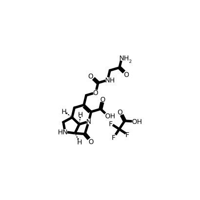 NC(=O)CNC(=O)OCC1=C(C(=O)O)N2C(=O)[C@H]3NC[C@@H](C1)[C@H]32.O=C(O)C(F)(F)F